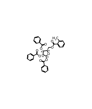 Cc1ccccc1C(=O)OC[C@H]1O[C@@H](OC(=O)c2ccccc2)[C@H](OC(=O)c2ccccc2)[C@@H]1OC(=O)c1ccccc1